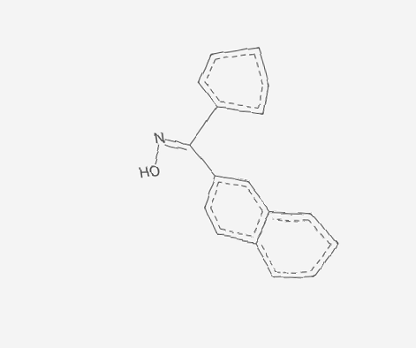 O/N=C(/c1ccccc1)c1ccc2ccccc2c1